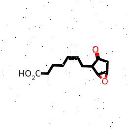 O=C(O)CCC/C=C\CC1C(=O)CC2OC21